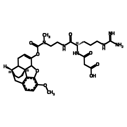 COc1ccc2c3c1OC1C(OC(=O)N(C)CCNC(=O)[C@H](CCCNC(=N)N)NC(=O)CC(=O)O)=CCC4[C@H](CCC[C@]314)C2